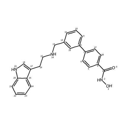 O=C(NO)c1ccc(-c2cccc(CNCCc3c[nH]c4ccccc34)c2)cc1